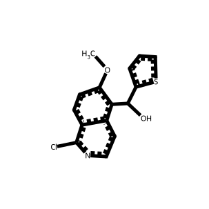 COc1ccc2c(Cl)nccc2c1C(O)c1cccs1